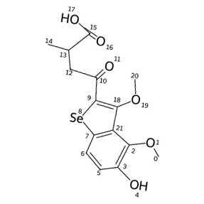 COc1c(O)ccc2[se]c(C(=O)CC(C)C(=O)O)c(OC)c12